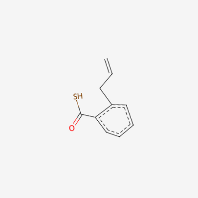 C=CCc1ccccc1C(=O)S